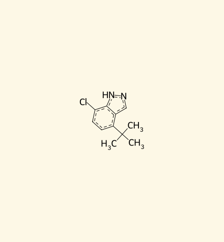 CC(C)(C)c1ccc(Cl)c2[nH]ncc12